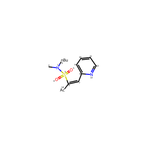 CCCCN(C)S(=O)(=O)C(=Cc1ccccn1)C(C)=O